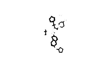 COc1cc(C(F)(F)[C@H](NS(=O)(=O)c2ccc3cc(OC4CCCC4)ccc3c2)C(=O)N2CCC(N)CC2)ccc1Br.O=C(O)C(F)(F)F